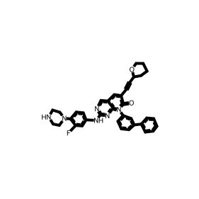 O=c1c(C#CC2CCCCO2)cc2cnc(Nc3ccc(N4CCNCC4)c(F)c3)nc2n1-c1cccc(-c2ccccc2)c1